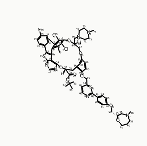 Cc1c(Cl)c2c(Cl)c(C)c1-c1c(-c3ccc(F)cc3)sc3ncnc(c13)O[C@@H](C(=O)OC(C)(C)C)Cc1cc(ccc1OCc1ccnc(-c3ccc(OC[C@@H]4CN(C)CCCO4)cc3)n1)OC[C@@H](CN1CCN(C)CC1)O2